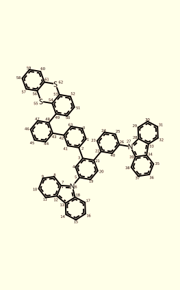 c1cc(-c2cc(-n3c4ccccc4c4ccccc43)ccc2-c2cccc(-n3c4ccccc4c4ccccc43)c2)cc(-c2ccccc2-c2cccc3c2Sc2ccccc2S3)c1